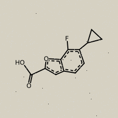 O=C(O)c1cc2ccc(C3CC3)c(F)c2o1